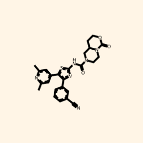 Cc1cc(-c2sc(NC(=O)N3CCN4C(=O)OCCC4C3)nc2-c2cccc(C#N)c2)cc(C)n1